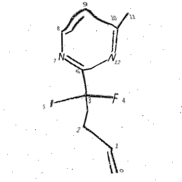 C=CCC(F)(I)c1nccc(C)n1